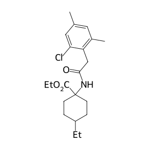 CCOC(=O)C1(NC(=O)Cc2c(C)cc(C)cc2Cl)CCC(CC)CC1